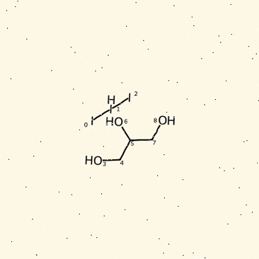 I[IH]I.OCC(O)CO